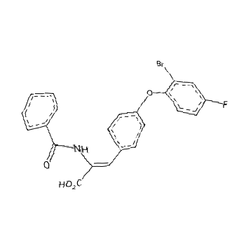 O=C(O)C(=Cc1ccc(Oc2ccc(F)cc2Br)cc1)NC(=O)c1ccccc1